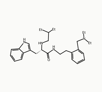 CCC(CC)CN[C@@H](Cc1c[nH]c2ccccc12)C(=O)NCCc1ccccc1CN(CC)CC